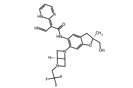 C[C@@]1(CO)Cc2cc(NC(=O)/C(C=N)=C3\N=CC=CN3)c(N3C[C@H]4C3CN4CC(F)(F)F)cc2O1